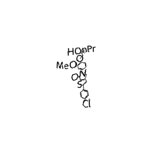 CCC[C@@H](O)COc1ccc(N2Cc3cc(-c4ccc(Cl)cc4)sc3C2=O)cc1OC